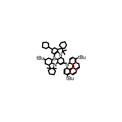 CC(C)(C)C1=CC(C2=CCCC=C2)C(N(C2=CC3C4B(C5=C6C(CC(C7CCCCC7)C5)C5(CCCCC5)C(C)(C)N6C4C2)C2CC(C(C)(C)C)CC4C2N3C2(C)CCCCC42C)C2C=CC(C(C)(C)C)=CC2C2CC=CCC2)C=C1